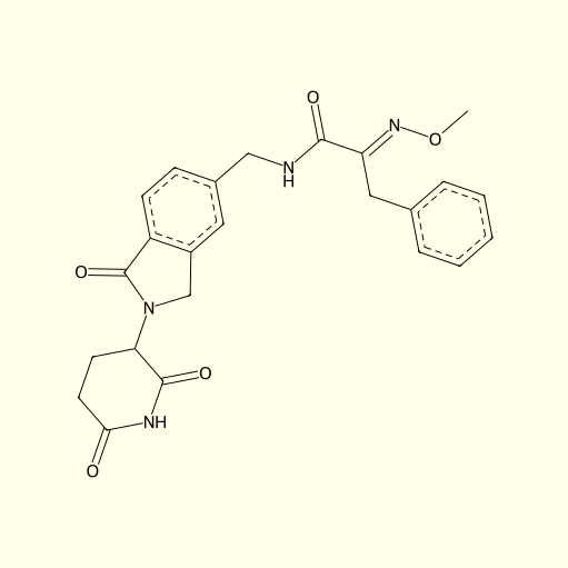 CO/N=C(\Cc1ccccc1)C(=O)NCc1ccc2c(c1)CN(C1CCC(=O)NC1=O)C2=O